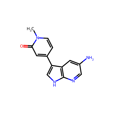 Cn1ccc(-c2c[nH]c3ncc(N)cc23)cc1=O